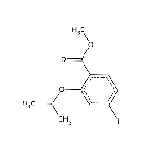 COC(=O)c1ccc(I)cc1OC(C)C